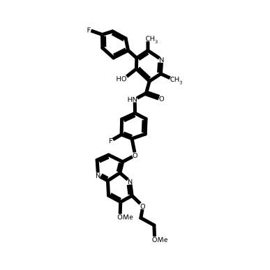 COCCOc1nc2c(Oc3ccc(NC(=O)c4c(C)nc(C)c(-c5ccc(F)cc5)c4O)cc3F)ccnc2cc1OC